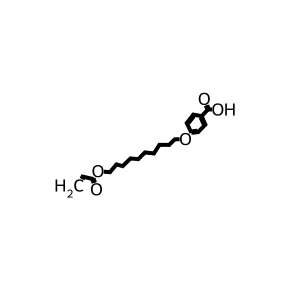 C=CC(=O)OCCCCCCCCCCOc1ccc(C(=O)O)cc1